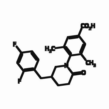 Cc1cc(C(=O)O)cc(C)c1N1CC(Cc2ccc(F)cc2F)CCC1=O